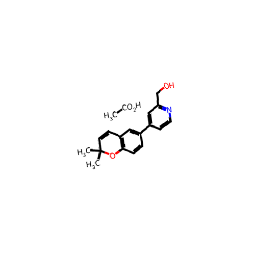 CC(=O)O.CC1(C)C=Cc2cc(-c3ccnc(CO)c3)ccc2O1